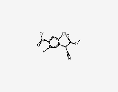 COC(=O)C(C#N)c1cc(F)c([N+](=O)[O-])cc1Cl